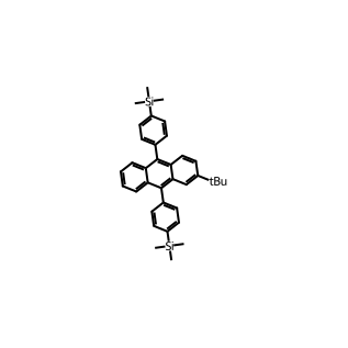 CC(C)(C)c1ccc2c(-c3ccc([Si](C)(C)C)cc3)c3ccccc3c(-c3ccc([Si](C)(C)C)cc3)c2c1